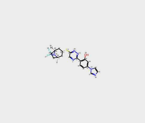 C[C@@]12C[C@@H](Sc3cnc(-c4ccc(-n5ccnc5)cc4O)nn3)C[C@@H](N1)C(F)(F)C2